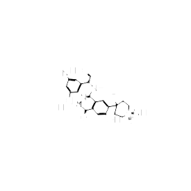 C=C[C@@H](Nc1nn(C)c(=O)c2cc(O)c(C3(F)CCS(=N)(=O)CC3)cc12)c1cc(N)cc(C(F)(F)F)c1